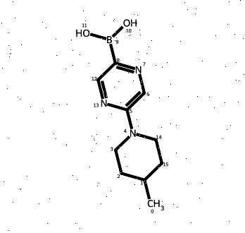 CC1CCN(c2cnc(B(O)O)cn2)CC1